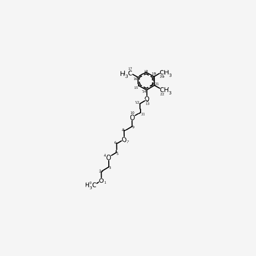 COCCOCCOCCOCCOc1cc(C)cc(C)c1C